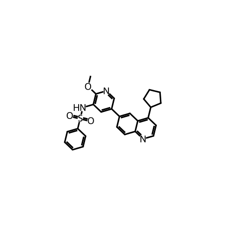 COc1ncc(-c2ccc3nccc(C4CCCC4)c3c2)cc1NS(=O)(=O)c1ccccc1